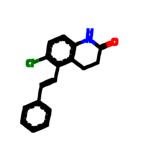 O=C1CCc2c(ccc(Cl)c2C=Cc2ccccc2)N1